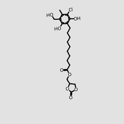 Cc1c(Cl)c(O)c(CCCCCCCCCC(=O)OCC2COC(=O)O2)c(O)c1CO